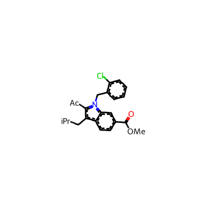 COC(=O)c1ccc2c(CC(C)C)c(C(C)=O)n(Cc3ccccc3Cl)c2c1